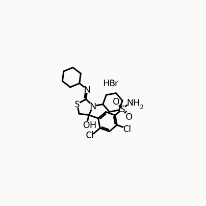 Br.NS(=O)(=O)c1cc(C2(O)CSC(=NC3CCCCC3)N2C2CCCCC2)c(Cl)cc1Cl